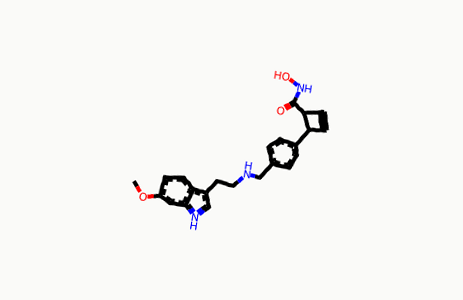 COc1ccc2c(CCNCc3ccc(C4C#CC4C(=O)NO)cc3)c[nH]c2c1